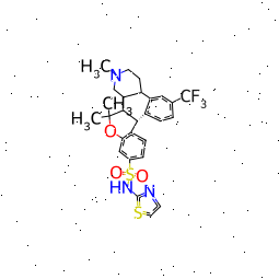 CN1CCC(c2cc(C(F)(F)F)ccc2[C@H]2CC(C)(C)Oc3cc(S(=O)(=O)Nc4nccs4)ccc32)CC1